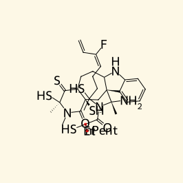 C=C/C(F)=C\CCC(C)(S)N(C(=O)C(S)(CC)CCCCC)[C@@](C)(N)[C@@]12c3ccccc3NC1CCC1C(=S)[C@](C)(S)N(C)C(=O)[C@@]1(S)[C@H]2C